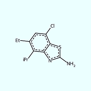 CCc1cc(Cl)c2sc(N)nc2c1C(C)C